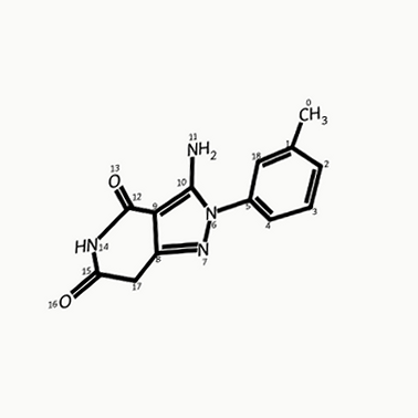 Cc1cccc(-n2nc3c(c2N)C(=O)NC(=O)C3)c1